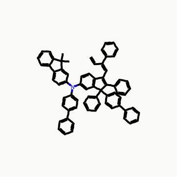 C=C/C(=C\C1=C(c2ccccc2)C(c2ccccc2)(c2ccc(-c3ccccc3)cc2)c2cc(N(c3ccc(-c4ccccc4)cc3)c3ccc4c(c3)C(C)(C)c3ccccc3-4)ccc21)c1ccccc1